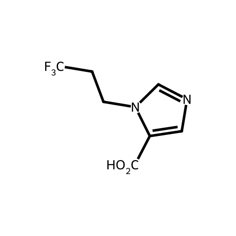 O=C(O)c1cncn1CCC(F)(F)F